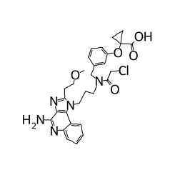 COCCc1nc2c(N)nc3ccccc3c2n1CCCN(Cc1cccc(OC2(C(=O)O)CC2)c1)C(=O)CCl